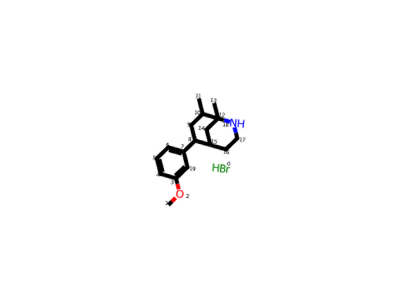 Br.COc1cccc(C2CC(C)C3(C)CC2CCN3)c1